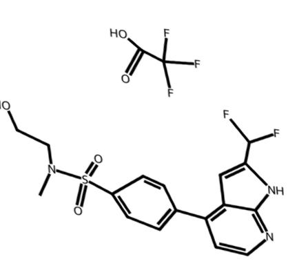 CN(CCO)S(=O)(=O)c1ccc(-c2ccnc3[nH]c(C(F)F)cc23)cc1.O=C(O)C(F)(F)F